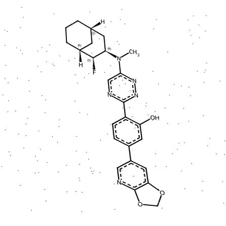 CN(c1cnc(-c2ccc(-c3cnc4c(c3)OCO4)cc2O)nn1)[C@@H]1C[C@H]2CCC[C@H](C2)[C@@H]1F